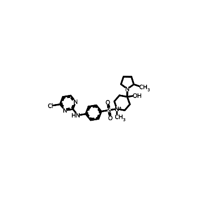 CC1CCCN1C1(O)CC[N+](C)(S(=O)(=O)c2ccc(Nc3nccc(Cl)n3)cc2)CC1